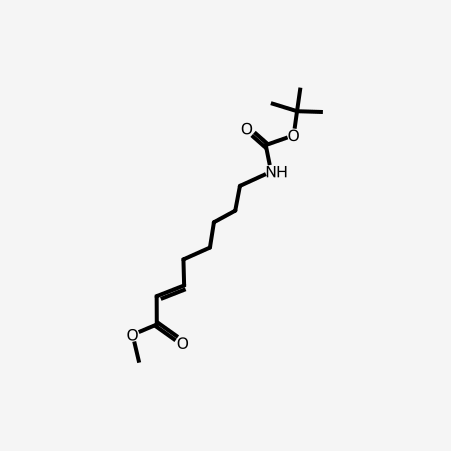 COC(=O)/C=C/CCCCCNC(=O)OC(C)(C)C